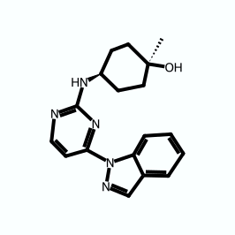 C[C@]1(O)CC[C@@H](Nc2nccc(-n3ncc4ccccc43)n2)CC1